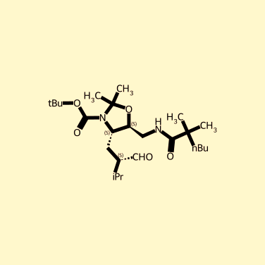 CCCCC(C)(C)C(=O)NC[C@@H]1OC(C)(C)N(C(=O)OC(C)(C)C)[C@H]1C[C@H](C=O)C(C)C